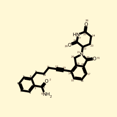 NC(=O)c1ccccc1CCCC#Cc1cccc2c1CN(C1CCC(=O)NC1=O)C2=O